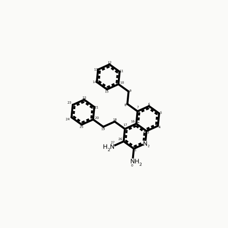 Nc1nc2cccc(CCc3ccccc3)c2c(CCc2ccccc2)c1N